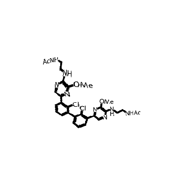 COc1nc(-c2cccc(-c3cccc(-c4cnc(NCCNC(C)=O)c(OC)n4)c3Cl)c2Cl)cnc1NCCNC(C)=O